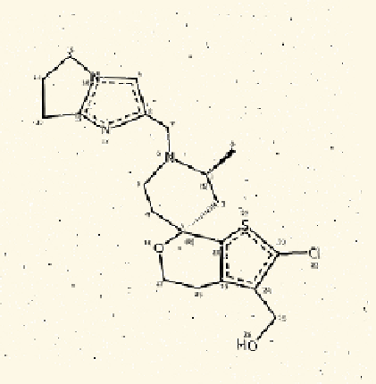 C[C@H]1C[C@@]2(CCN1Cc1cn3c(n1)CCC3)OCCc1c2sc(Cl)c1CO